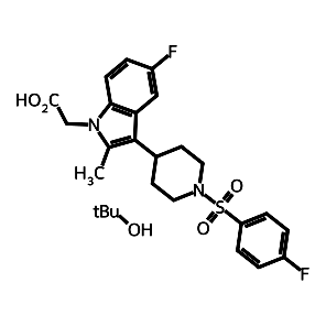 CC(C)(C)O.Cc1c(C2CCN(S(=O)(=O)c3ccc(F)cc3)CC2)c2cc(F)ccc2n1CC(=O)O